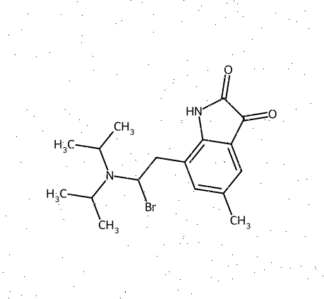 Cc1cc(CC(Br)N(C(C)C)C(C)C)c2c(c1)C(=O)C(=O)N2